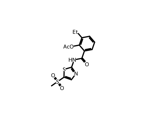 CCc1cccc(C(=O)Nc2ncc(S(C)(=O)=O)s2)c1OC(C)=O